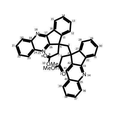 COC(=O)CC1(CC2(CC(=O)OC)c3ccccc3-c3nc4ccccc4nc32)c2ccccc2-c2nc3ccccc3cc21